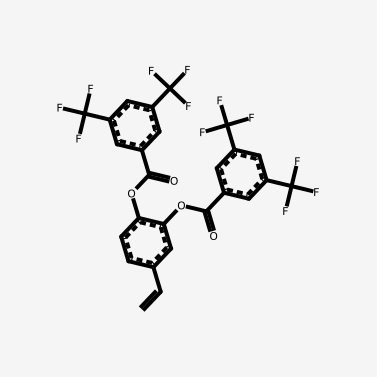 C=Cc1ccc(OC(=O)c2cc(C(F)(F)F)cc(C(F)(F)F)c2)c(OC(=O)c2cc(C(F)(F)F)cc(C(F)(F)F)c2)c1